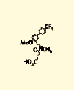 COc1ccc(-c2ccc(C(F)(F)F)cc2)cc1CCN(C)C(=O)CCCC(=O)O